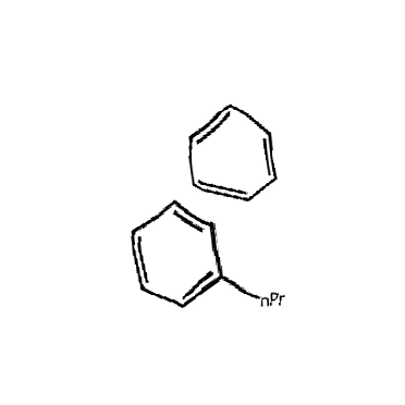 CCCc1ccccc1.c1ccccc1